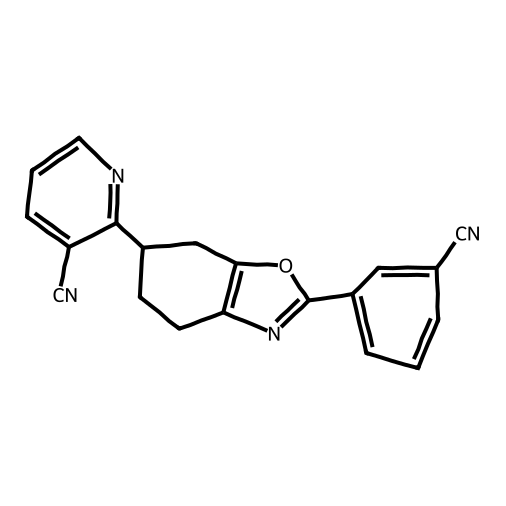 N#Cc1cccc(-c2nc3c(o2)CC(c2ncccc2C#N)CC3)c1